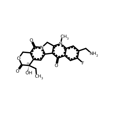 CC[C@@]1(O)C(=O)OCc2c1cc1n(c2=O)Cc2c-1c(=O)c1cc(F)c(CN)cc1n2C